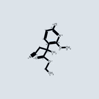 CCOC(=O)C(C)(CC#N)c1ccc(Cl)nc1OC